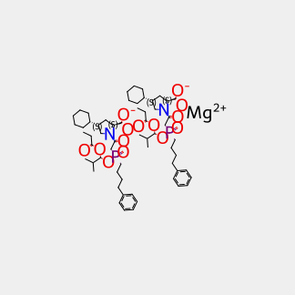 CCC(=O)OC(OP(=O)(CCCCc1ccccc1)CC(=O)N1C[C@H](C2CCCCC2)C[C@H]1C(=O)[O-])C(C)C.CCC(=O)OC(OP(=O)(CCCCc1ccccc1)CC(=O)N1C[C@H](C2CCCCC2)C[C@H]1C(=O)[O-])C(C)C.[Mg+2]